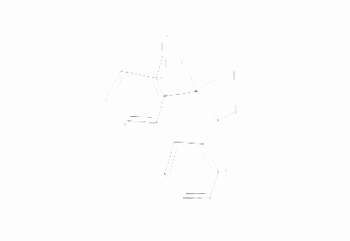 CC1(C)c2c(F)cccc2-c2ccccc2C1F